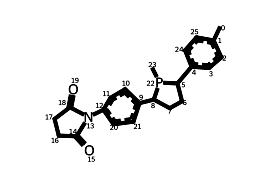 Cc1ccc(C2CCC(c3ccc(N4C(=O)CCC4=O)cc3)P2C)cc1